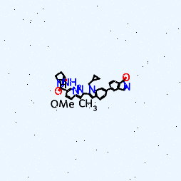 COc1cc(C(=O)N2CC3CCC2[C@@H]3N)cn2nc(-c3cc4ccc(-c5ccc6c(c5)C=NC6=O)cc4n3CC3CC3)c(C)c12